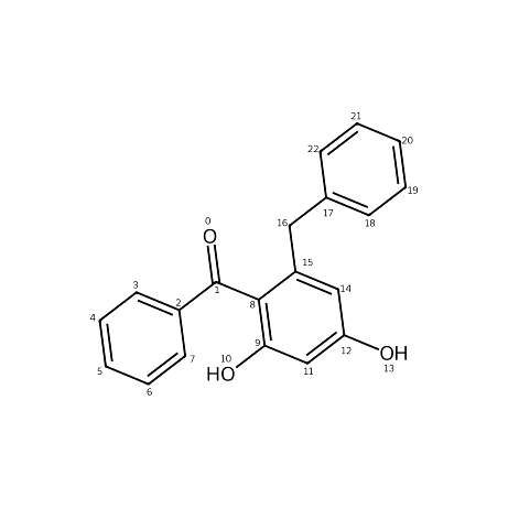 O=C(c1ccccc1)c1c(O)cc(O)cc1Cc1ccccc1